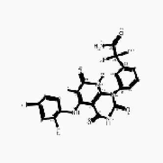 Cc1c(Nc2ccc(I)cc2F)c2c(=O)[nH]c(=O)n(-c3cccc(C(F)(F)C(N)=O)c3)c2n(C)c1=O